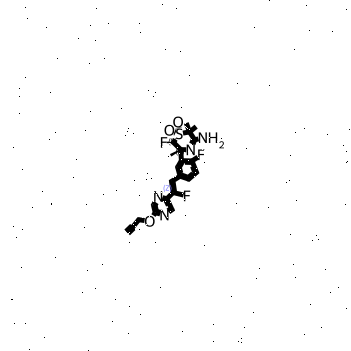 C#CCOc1cnc(/C(F)=C/c2ccc(F)c([C@@]3(C)N=C(N)C(C)(C)S(=O)(=O)[C@H]3F)c2)cn1